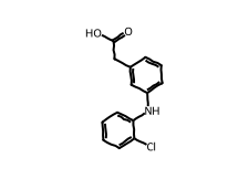 O=C(O)Cc1cccc(Nc2ccccc2Cl)c1